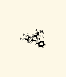 C[C@H](NC(=O)[C@H](Cc1ccccc1)NC(=O)C(C)(C)N)C(N)=O